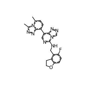 Cc1ccc(-c2cnc(NCc3c(F)ccc4c3CCO4)n3cnnc23)c2nnc(C)n12